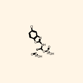 O=[PH](O)OC(Nc1nc2cc(Cl)ccc2o1)O[PH](=O)O